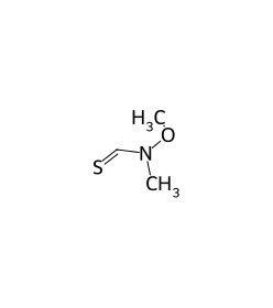 CON(C)C=S